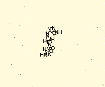 COC1(NC(=O)N2C[C@H]3C[C@H](N(C)c4ncnc5[nH]ccc45)C[C@H]3C2)N=CNS1